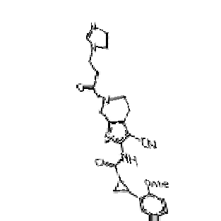 COc1ccccc1C1CC1C(=O)Nc1sc2c(c1C#N)CCN(C(=O)CCN1C=NCC1)C2